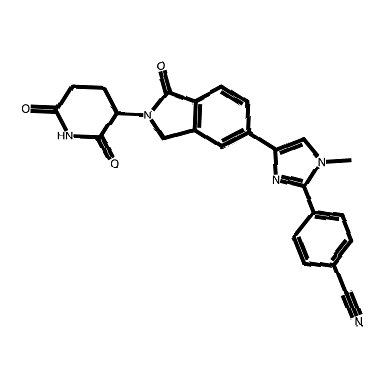 Cn1cc(-c2ccc3c(c2)CN(C2CCC(=O)NC2=O)C3=O)nc1-c1ccc(C#N)cc1